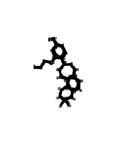 CCCOc1cc(O)ccc1C1CCc2ccc3c(c2OC1)CCC(C)(C)O3